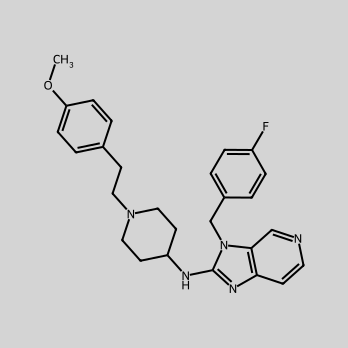 COc1ccc(CCN2CCC(Nc3nc4ccncc4n3Cc3ccc(F)cc3)CC2)cc1